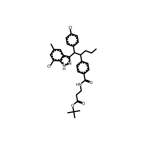 CCCC(c1ccc(C(=O)NCCC(=O)OC(C)(C)C)cc1)C(c1ccc(Cl)cc1)c1n[nH]c2c(Cl)cc(C)cc12